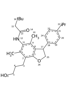 Cc1c(CCCO)c2c(c(C)c1NC(=O)CC(C)(C)C)C(c1ccc(C(C)C)cc1)CO2